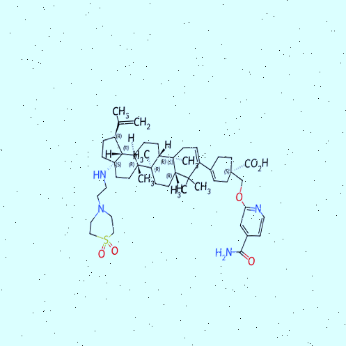 C=C(C)[C@@H]1CC[C@]2(NCCN3CCS(=O)(=O)CC3)CC[C@]3(C)[C@H](CC[C@@H]4[C@@]5(C)CC=C(C6=CC[C@@](COc7cc(C(N)=O)ccn7)(C(=O)O)CC6)C(C)(C)[C@@H]5CC[C@]43C)[C@@H]12